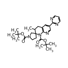 CC1Cc2cc(-c3ncccn3)cnc2N(C(=O)OC(C)(C)C)C12CCN(C(=O)OC(C)(C)C)C2